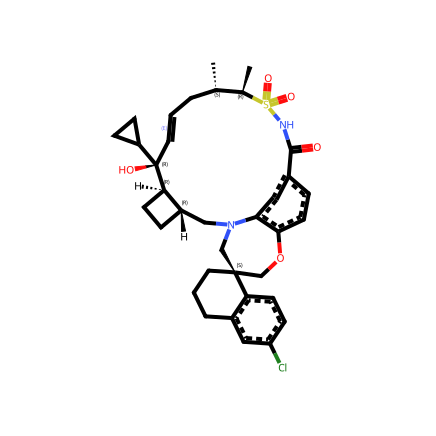 C[C@@H]1[C@@H](C)C/C=C/[C@@](O)(C2CC2)[C@@H]2CC[C@H]2CN2C[C@@]3(CCCc4cc(Cl)ccc43)COc3ccc(cc32)C(=O)NS1(=O)=O